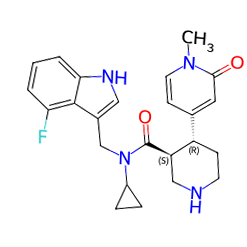 Cn1ccc([C@@H]2CCNC[C@H]2C(=O)N(Cc2c[nH]c3cccc(F)c23)C2CC2)cc1=O